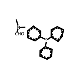 CN(C)C=O.c1ccc(P(c2ccccc2)c2ccccc2)cc1